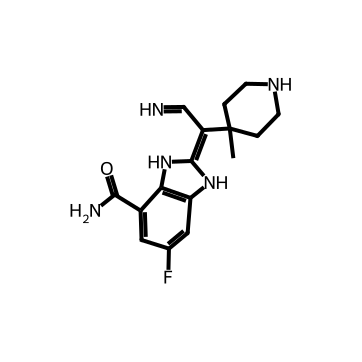 CC1(/C(C=N)=C2\Nc3cc(F)cc(C(N)=O)c3N2)CCNCC1